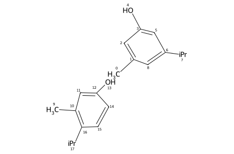 Cc1cc(O)cc(C(C)C)c1.Cc1cc(O)ccc1C(C)C